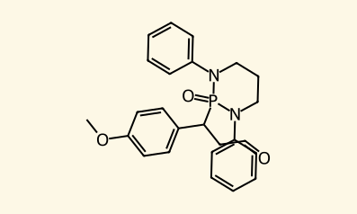 COc1ccc(C(CC=O)P2(=O)N(c3ccccc3)CCCN2c2ccccc2)cc1